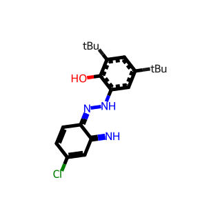 CC(C)(C)c1cc(N/N=C2/C=CC(Cl)=CC2=N)c(O)c(C(C)(C)C)c1